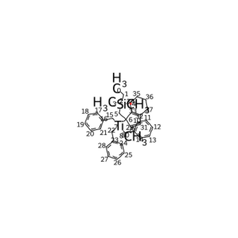 CC[Si](C)(C)C[C]1([Ti]([CH2]c2ccccc2)([CH2]c2ccccc2)[CH2]c2ccccc2)C(C)=CC2=C1CCCC2